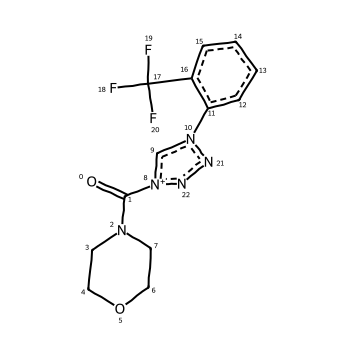 O=C(N1CCOCC1)[n+]1cn(-c2ccccc2C(F)(F)F)nn1